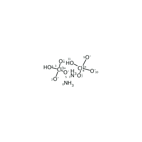 N.N.[O-][Cl+3]([O-])([O-])O.[O-][Cl+3]([O-])([O-])O